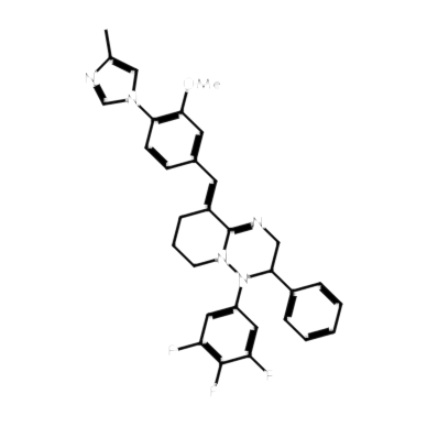 COc1cc(/C=C2\CCCN3C2=NCC(c2ccccc2)N3c2cc(F)c(F)c(F)c2)ccc1-n1cnc(C)c1